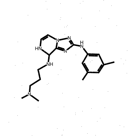 Cc1cc(C)cc(Nc2nc3n(n2)C=CNC3NCCCN(C)C)c1